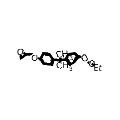 CCOCOC1=CC=C(C(C)(C)c2ccc(OCC3CO3)cc2)CC1